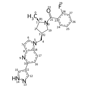 C[C@@H]1C[C@H](Cn2ccc3nc(-c4cn[nH]c4)ccc32)CN1C(=O)c1ccccc1F